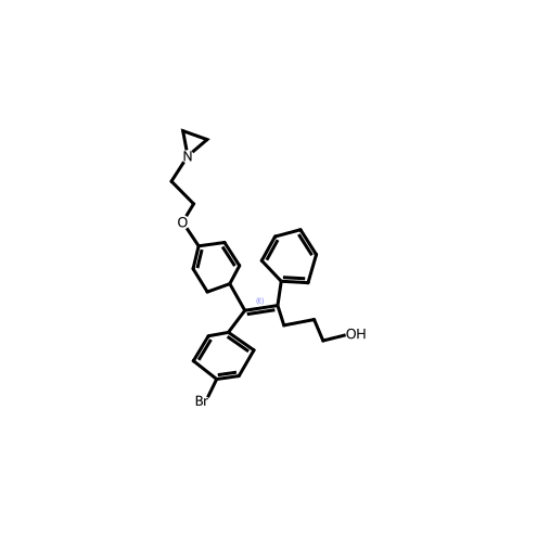 OCCC/C(=C(\c1ccc(Br)cc1)C1C=CC(OCCN2CC2)=CC1)c1ccccc1